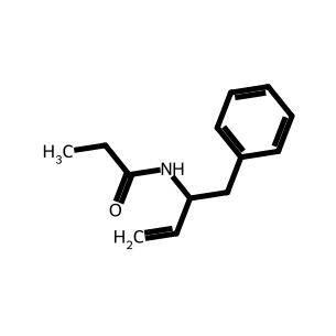 C=CC(Cc1ccccc1)NC(=O)CC